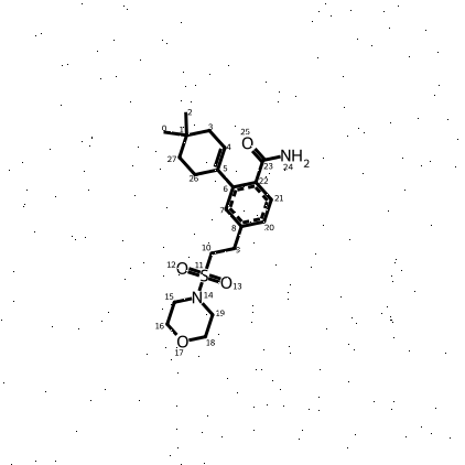 CC1(C)CC=C(c2cc(CCS(=O)(=O)N3CCOCC3)ccc2C(N)=O)CC1